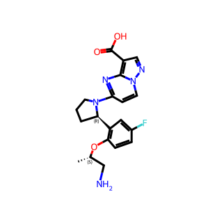 C[C@@H](CN)Oc1ccc(F)cc1[C@H]1CCCN1c1ccn2ncc(C(=O)O)c2n1